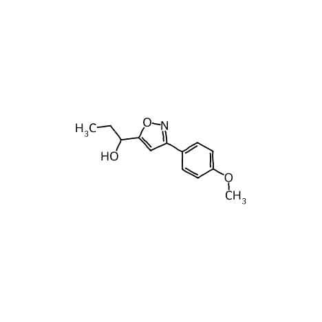 CCC(O)c1cc(-c2ccc(OC)cc2)no1